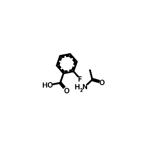 CC(N)=O.O=C(O)c1ccccc1F